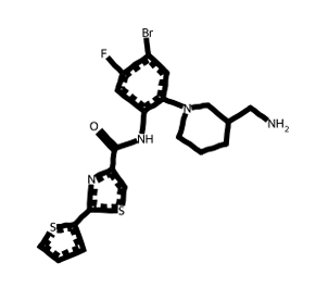 NCC1CCCN(c2cc(Br)c(F)cc2NC(=O)c2csc(-c3cccs3)n2)C1